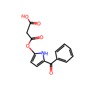 O=C(O)CC(=O)Oc1ccc(C(=O)c2ccccc2)[nH]1